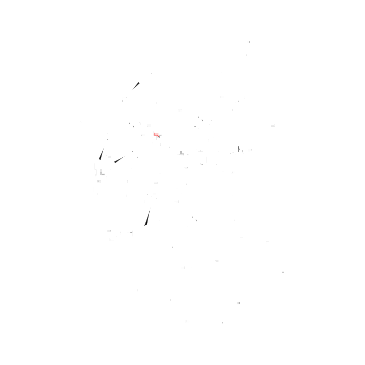 CC[C@H]1C[C@@H]2[C@@H]3CC[C@H](CN2c2nc(S(=O)(=O)CC)nc4c(F)c(-c5cccc6ccc(F)c(C#C[Si](C(C)C)(C(C)C)C(C)C)c56)nc1c24)N3C(=O)OC(C)(C)C